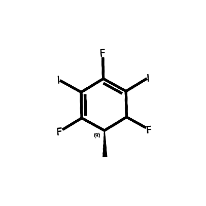 C[C@H]1C(F)=C(I)C(F)=C(I)C1F